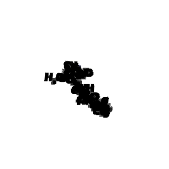 COc1cc(C)c(/N=C\C2CCCN2C=O)cc1OCCCC(=O)Nc1cc(C(=O)Nc2cc(C(=O)N3CCSCC3)n(C)c2)n(C)c1